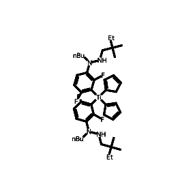 CCCCN(NCC(C)(C)CC)c1ccc(F)[c]([Ti]([C]2=CC=CC2)([C]2=CC=CC2)[c]2c(F)ccc(N(CCCC)NCC(C)(C)CC)c2F)c1F